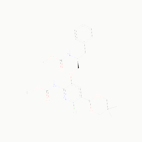 CC1(C)COB(c2cc(OC[C@H](Cc3ccccc3)NC(=O)OC(C)(C)C)c(NC(=O)OC(C)(C)C)nc2Cl)OC1